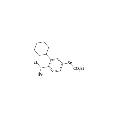 CCOC(=O)[Se]c1ccc(C(CC)C(C)C)c(C2CCCCC2)c1